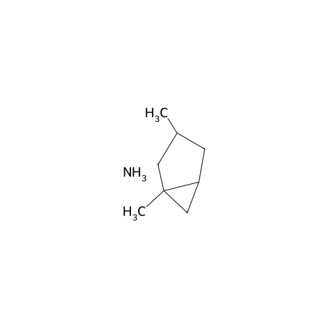 CC1CC2CC2(C)C1.N